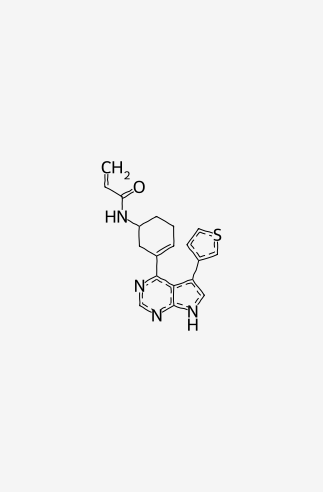 C=CC(=O)NC1CCC=C(c2ncnc3[nH]cc(-c4ccsc4)c23)C1